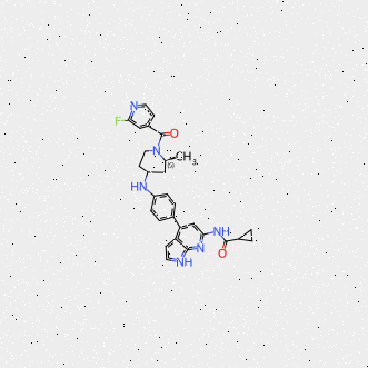 C[C@H]1CC(Nc2ccc(-c3cc(NC(=O)C4CC4)nc4[nH]ccc34)cc2)CCN1C(=O)c1ccnc(F)c1